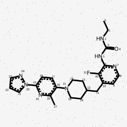 CCNC(=O)Nc1nccc(CC2CCN(c3ccc(-n4cccn4)nc3C)CC2)c1F